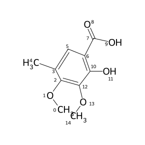 COc1c(C)cc(C(=O)O)c(O)c1OC